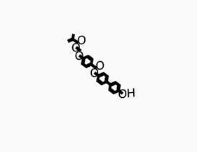 C=C(C)C(=O)OCOc1ccc(C(=O)Oc2ccc(-c3ccc(O)cc3)cc2)cc1